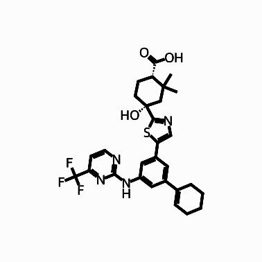 CC1(C)C[C@@](O)(c2ncc(-c3cc(Nc4nccc(C(F)(F)F)n4)cc(C4=CCCCC4)c3)s2)CC[C@@H]1C(=O)O